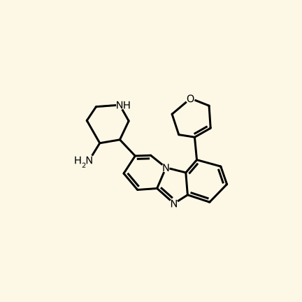 NC1CCNCC1c1ccc2nc3cccc(C4=CCOCC4)c3n2c1